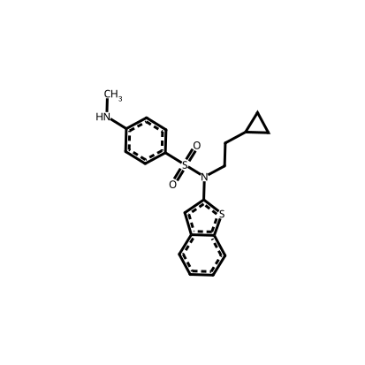 CNc1ccc(S(=O)(=O)N(CCC2CC2)c2cc3ccccc3s2)cc1